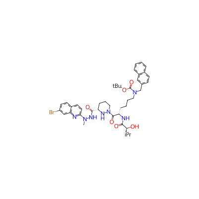 CC(C)[C@H](O)C(=O)N[C@@H](CCCCN(Cc1ccc2ccccc2c1)C(=O)OC(C)(C)C)C(=O)N1CCC[C@@H](C(=O)NN(C)c2ccc3ccc(Br)cc3n2)N1